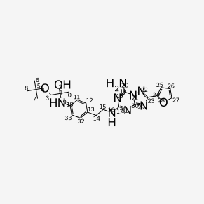 CC(O)(COC(C)(C)C)Nc1ccc(CCNc2nc(N)n3nc(-c4ccco4)nc3n2)cc1